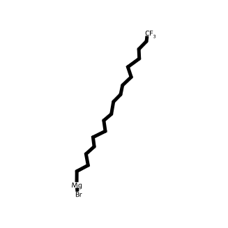 FC(F)(F)CCCCCCCCCCCCCCC[CH2][Mg][Br]